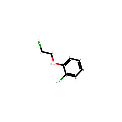 FCCOc1ccccc1F